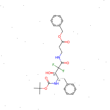 CC(C)(C)OC(=O)N[C@@H](Cc1ccccc1)[C@@H](O)C(F)(F)C(=O)NCCC(=O)OCc1ccccc1